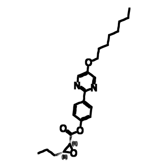 CCCCCCCCOc1cnc(-c2ccc(OC(=O)[C@@H]3O[C@@H]3CCC)cc2)nc1